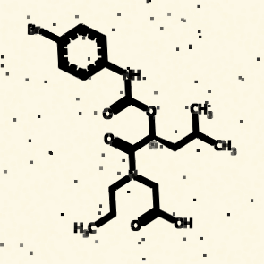 CCCN(CC(=O)O)C(=O)[C@H](CC(C)C)OC(=O)Nc1ccc(Br)cc1